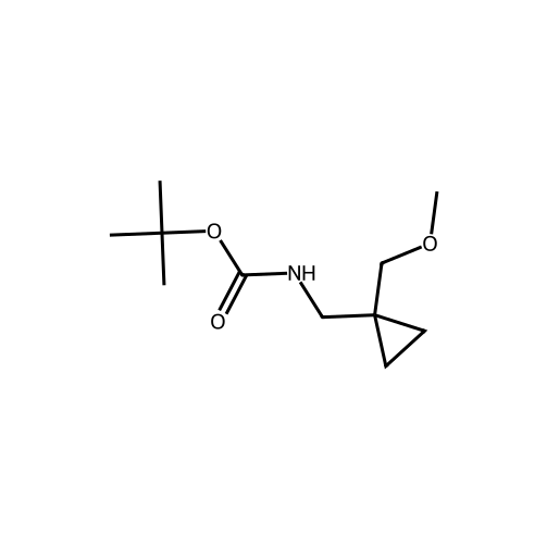 COCC1(CNC(=O)OC(C)(C)C)CC1